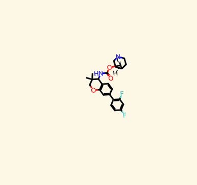 CC1(C)COc2cc(-c3ccc(F)cc3F)ccc2C1NC(=O)O[C@H]1CN2CCC1CC2